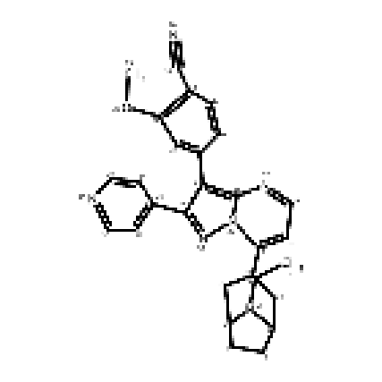 CCN1C2CCC1CC(c1ccnc3c(-c4ccc(C#N)c(OC)c4)c(-c4ccncc4)nn13)C2